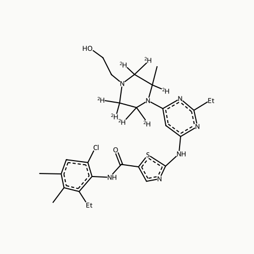 [2H]C1([2H])N(CCO)C([2H])([2H])C([2H])(C)N(c2cc(Nc3ncc(C(=O)Nc4c(Cl)cc(C)c(C)c4CC)s3)nc(CC)n2)C1([2H])[2H]